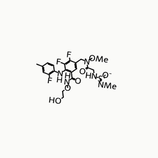 CN[S+]([O-])NCC(=O)N(Cc1cc(C(=O)NOCCO)c(Nc2ccc(C)cc2F)c(F)c1F)OC